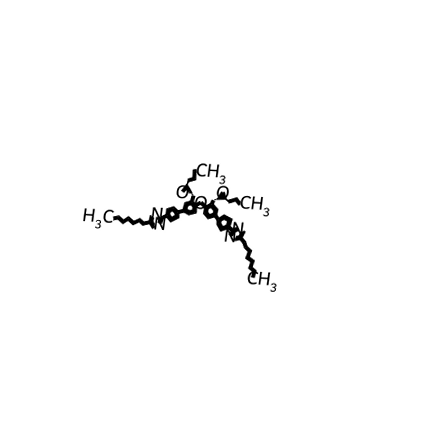 CCCCCCCCc1cnc(-c2ccc(-c3ccc(Oc4ccc(-c5ccc(-c6ncc(CCCCCCCC)cn6)cc5)cc4C[C@@H]4O[C@H]4CCCC)c(C[C@@H]4O[C@H]4CCCC)c3)cc2)nc1